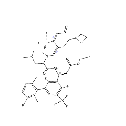 CCOC(=O)C[C@H](NC(=O)C(CC(C)C)N(C)/C=C(CCN1CCC1)\C(=C/C=O)C(F)(F)F)c1c(F)c(-c2c(C)ccc(F)c2C)cc(C(F)(F)F)c1F